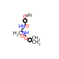 C=C(CCNC(=O)c1ccc(OCCC)cc1)NC(=O)COc1ccc(C)c(C)c1